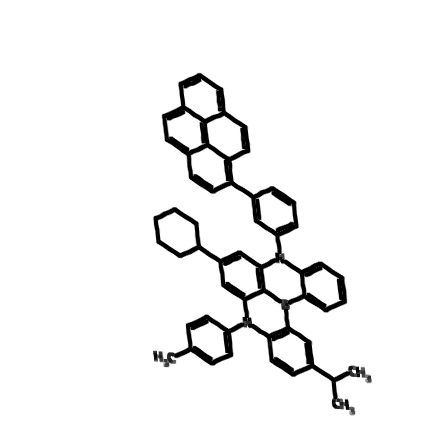 Cc1ccc(N2c3ccc(C(C)C)cc3B3c4ccccc4N(c4cccc(-c5ccc6ccc7cccc8ccc5c6c78)c4)c4cc(C5CCCCC5)cc2c43)cc1